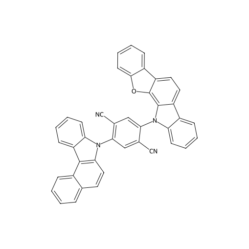 N#Cc1cc(-n2c3ccccc3c3ccc4c5ccccc5oc4c32)c(C#N)cc1-n1c2ccccc2c2c3ccccc3ccc21